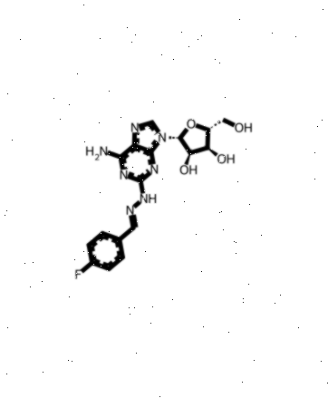 Nc1nc(NN=Cc2ccc(F)cc2)nc2c1ncn2[C@@H]1O[C@H](CO)[C@@H](O)[C@H]1O